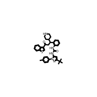 Cc1ccc(-n2nc(C(C)(C)C)cc2NC(=O)Nc2ccccc2C(CC(=O)c2csc3ccccc23)C2CCNCC2)cc1